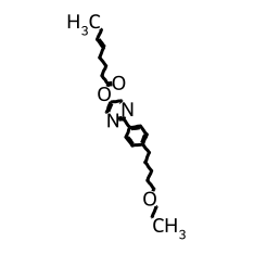 CCC=CCCCC(=O)Oc1cnc(-c2ccc(CCCCCOCCC)cc2)nc1